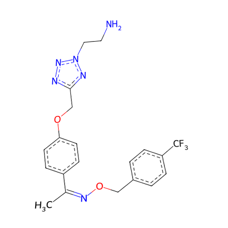 CC(=NOCc1ccc(C(F)(F)F)cc1)c1ccc(OCc2nnn(CCN)n2)cc1